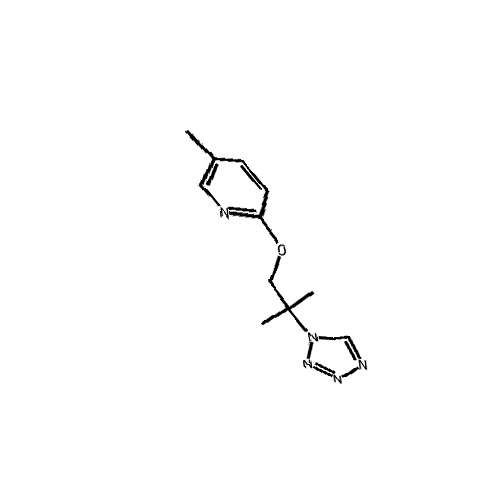 Cc1ccc(OCC(C)(C)n2cnnn2)nc1